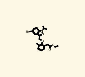 CCOC(=O)Cc1cccc(C)c1OCc1nn(C(C)C)c2ccc(Br)cc12